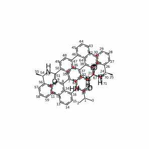 CC(C)C(=O)Nc1c(-c2cccc3cccc(-c4ccc(C(=O)N[C@H](C)c5ccccc5)cc4)c23)ccc(-c2cccc3cccc(-c4ccc(C(=O)N[C@H](C)c5ccccc5)cc4)c23)c1NC(=O)C(C)C